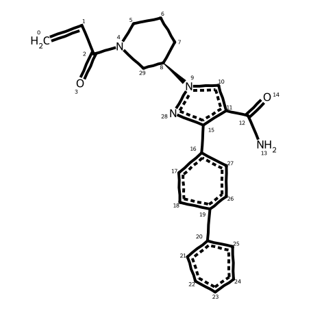 C=CC(=O)N1CCC[C@@H](n2cc(C(N)=O)c(-c3ccc(-c4ccccc4)cc3)n2)C1